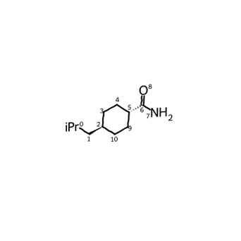 CC(C)C[C@H]1CC[C@H](C(N)=O)CC1